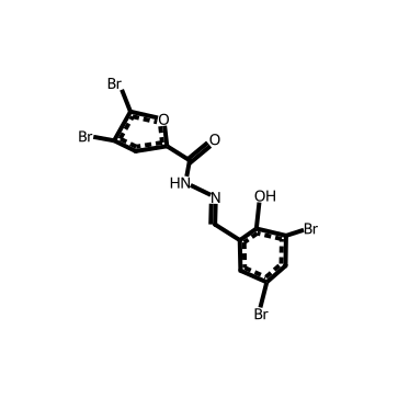 O=C(N/N=C/c1cc(Br)cc(Br)c1O)c1cc(Br)c(Br)o1